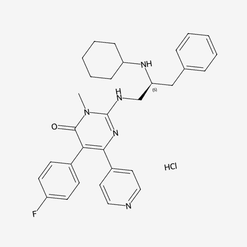 Cl.Cn1c(NC[C@H](Cc2ccccc2)NC2CCCCC2)nc(-c2ccncc2)c(-c2ccc(F)cc2)c1=O